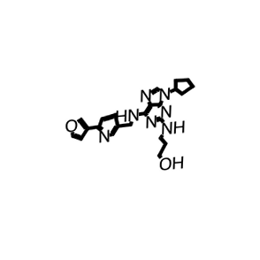 OCCCNc1nc(NCc2ccc(-c3ccoc3)nc2)c2ncn(C3CCCC3)c2n1